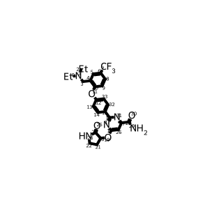 CCN(CC)Cc1cc(C(F)(F)F)ccc1Oc1ccc(-c2nc(OC3CCNC3=O)cc(C(N)=O)n2)cc1